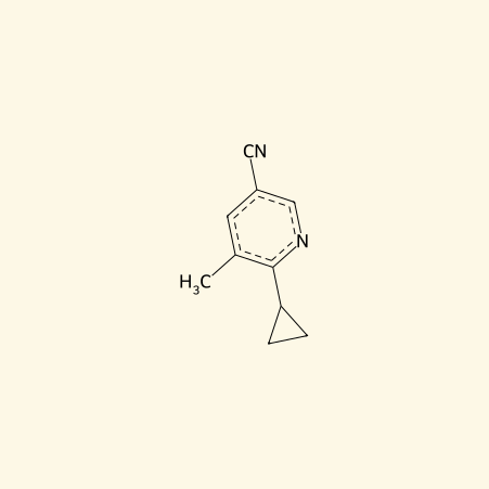 Cc1cc(C#N)cnc1C1CC1